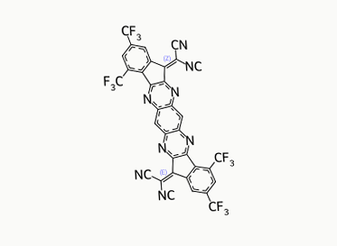 [C-]#[N+]/C(C#N)=C1/c2cc(C(F)(F)F)cc(C(F)(F)F)c2-c2nc3cc4nc5c(nc4cc3nc21)-c1c(cc(C(F)(F)F)cc1C(F)(F)F)/C5=C(/C#N)[N+]#[C-]